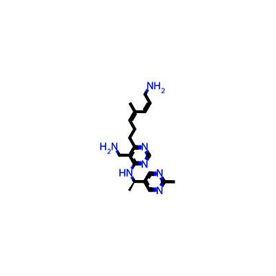 CC(=CCCc1ncnc(N[C@H](C)c2cnc(C)nc2)c1CN)/C=C\CN